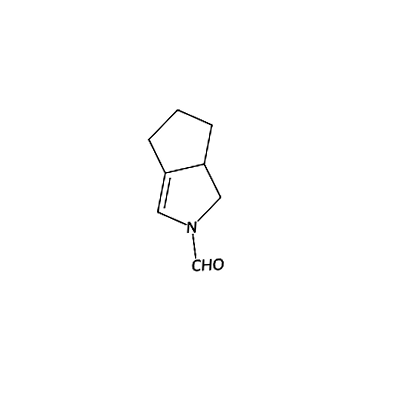 O=CN1C=C2CCCC2C1